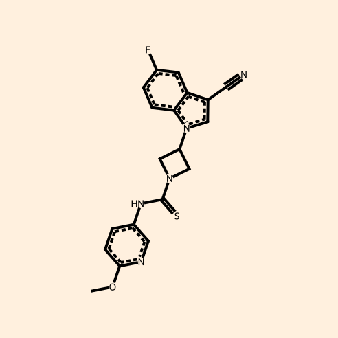 COc1ccc(NC(=S)N2CC(n3cc(C#N)c4cc(F)ccc43)C2)cn1